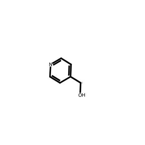 O[C]c1ccncc1